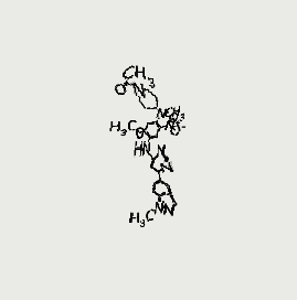 COc1cc(N(C)C2CCN(C(C)=O)CC2)c([N+](=O)[O-])cc1Nc1cc(-c2ccc3c(cnn3C)c2)ncn1